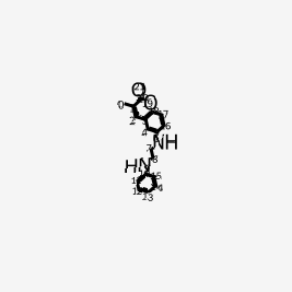 Cc1cc2cc(NCCNc3ccccc3)ccc2oc1=O